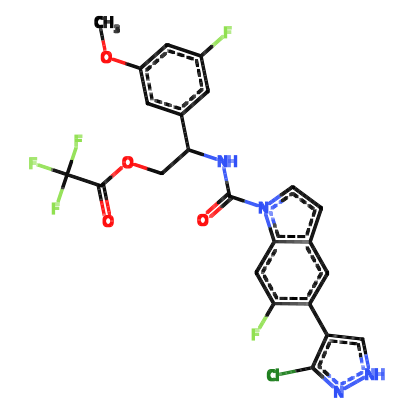 COc1cc(F)cc(C(COC(=O)C(F)(F)F)NC(=O)n2ccc3cc(-c4c[nH]nc4Cl)c(F)cc32)c1